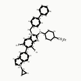 CCOC(=O)C1CCC(Oc2nc3c(F)c(-c4ccc5c(ccn5C5CC5)c4)c(F)cc3n2Cc2ccc(-c3ccccc3)cc2)CC1